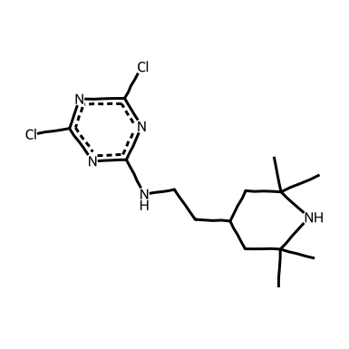 CC1(C)CC(CCNc2nc(Cl)nc(Cl)n2)CC(C)(C)N1